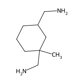 CC1(CN)CCCC(CN)C1